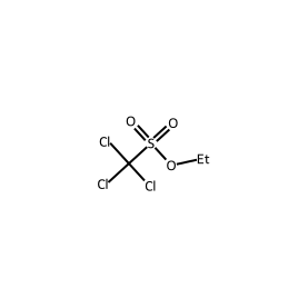 CCOS(=O)(=O)C(Cl)(Cl)Cl